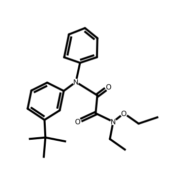 CCON(CC)C(=O)C(=O)N(c1ccccc1)c1cccc(C(C)(C)C)c1